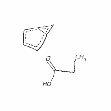 CCC(=O)O.c1cc2cc-2c1